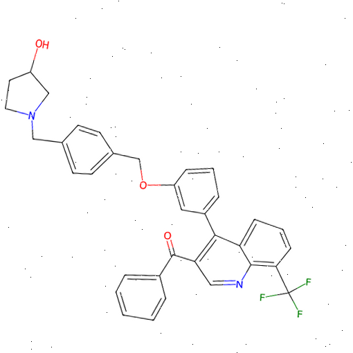 O=C(c1ccccc1)c1cnc2c(C(F)(F)F)cccc2c1-c1cccc(OCc2ccc(CN3CCC(O)C3)cc2)c1